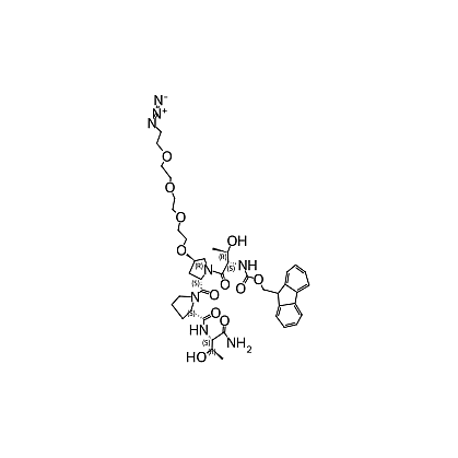 C[C@@H](O)[C@H](NC(=O)[C@@H]1CCCN1C(=O)[C@@H]1C[C@@H](OCCOCCOCCOCCN=[N+]=[N-])CN1C(=O)[C@@H](NC(=O)OCC1c2ccccc2-c2ccccc21)[C@@H](C)O)C(N)=O